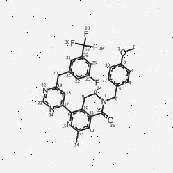 COc1ccc(CN2CCc3c(cc(C)nc3-c3cc(Cc4cc(F)cc(C(F)(F)F)c4)ncn3)C2=O)cc1